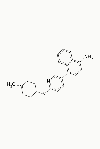 CN1CCC(Nc2ccc(-c3ccc(N)c4ccccc34)cn2)CC1